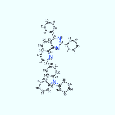 c1ccc(-c2nc(-c3ccccc3)c3ccc4ccc(-c5ccc6c(c5)c5ccccc5n6-c5ccccc5)nc4c3n2)cc1